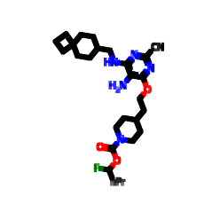 CCCC(F)OC(=O)N1CCC(CCOc2nc(C#N)nc(NCC3CCC4(CCC4)CC3)c2N)CC1